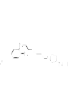 COc1ccc2ncc(OCCCN3CCC(N)C3)nc2c1